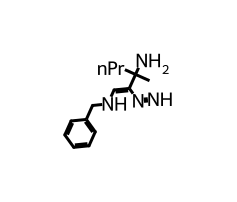 CCCC(C)(N)/C(=C/NCc1ccccc1)N=N